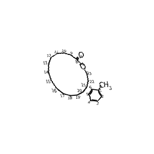 Cc1ccccc1.O=C1CCCCCCCCCCCCCCCO1